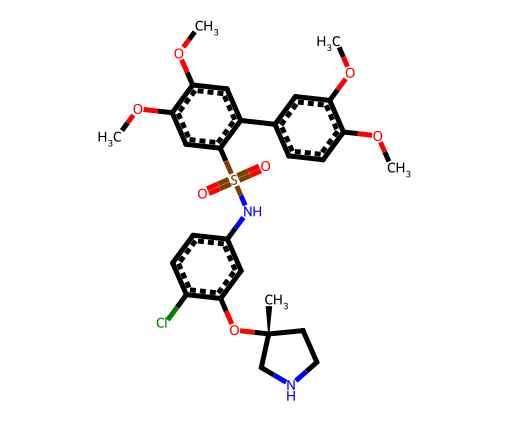 COc1ccc(-c2cc(OC)c(OC)cc2S(=O)(=O)Nc2ccc(Cl)c(O[C@]3(C)CCNC3)c2)cc1OC